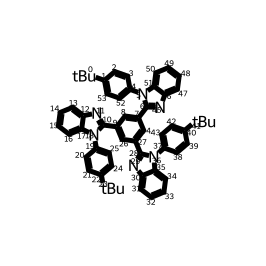 CC(C)(C)c1ccc(-n2c(-c3cc(-c4nc5ccccc5n4-c4ccc(C(C)(C)C)cc4)cc(-c4nc5ccccc5n4-c4ccc(C(C)(C)C)cc4)c3)nc3ccccc32)cc1